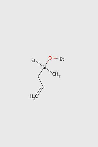 C=CC[Si](C)(CC)OCC